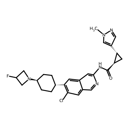 Cn1cc([C@@H]2C[C@H]2C(=O)Nc2cc3cc([C@H]4CC[C@H](N5CC(F)C5)CC4)c(Cl)cc3cn2)cn1